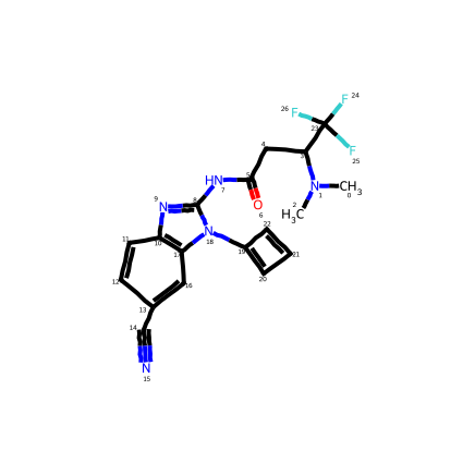 CN(C)C(CC(=O)Nc1nc2ccc(C#N)cc2n1C1=CC=C1)C(F)(F)F